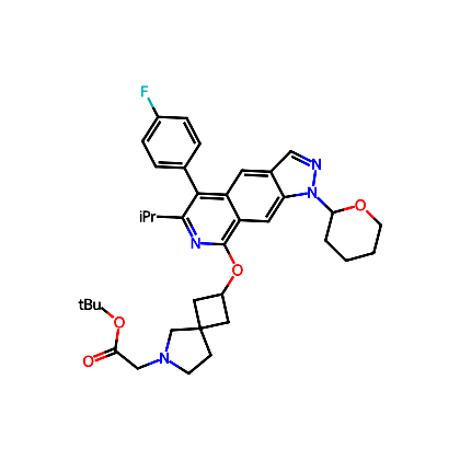 CC(C)c1nc(OC2CC3(CCN(CC(=O)OC(C)(C)C)C3)C2)c2cc3c(cnn3C3CCCCO3)cc2c1-c1ccc(F)cc1